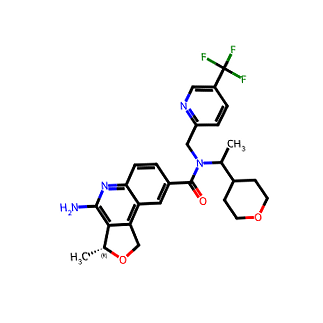 CC(C1CCOCC1)N(Cc1ccc(C(F)(F)F)cn1)C(=O)c1ccc2nc(N)c3c(c2c1)CO[C@@H]3C